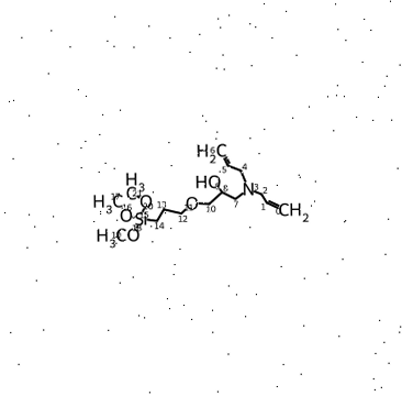 C=CCN(CC=C)CC(O)COCCC[Si](OC)(OC)OC